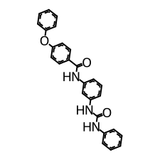 O=C(Nc1ccccc1)Nc1cccc(NC(=O)c2ccc(Oc3ccccc3)cc2)c1